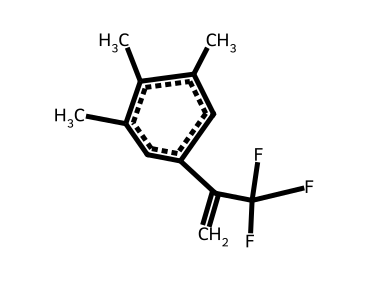 C=C(c1cc(C)c(C)c(C)c1)C(F)(F)F